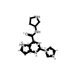 O=C(NC1CCNC1)c1nc(-n2ccnc2)nc2cc[nH]c12